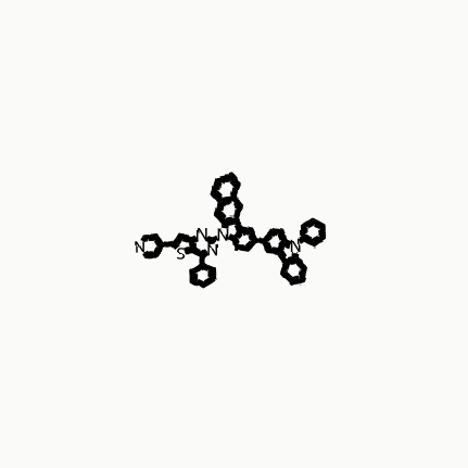 c1ccc(-c2nc(-n3c4ccc(-c5ccc6c(c5)c5ccccc5n6-c5ccccc5)cc4c4cc5ccccc5cc43)nc3cc(-c4ccncc4)sc23)cc1